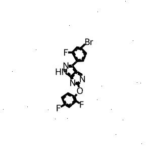 Fc1ccc(Oc2ncc3c(-c4ccc(Br)cc4F)n[nH]c3n2)c(F)c1